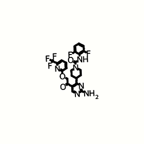 Nc1ncc(C(=O)COc2cccc(C(F)(F)F)n2)c(C2CCN(C(=O)Nc3c(F)cccc3F)CC2)n1